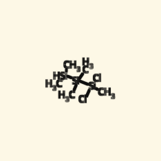 C[SiH](C)[Si](C)(C)[Si](C)(Cl)Cl